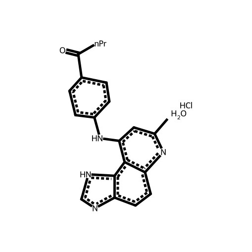 CCCC(=O)c1ccc(Nc2cc(C)nc3ccc4nc[nH]c4c23)cc1.Cl.O